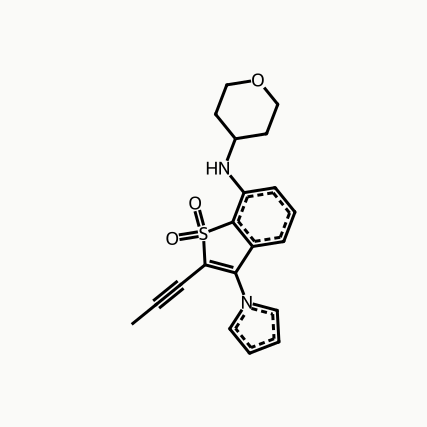 CC#CC1=C(n2cccc2)c2cccc(NC3CCOCC3)c2S1(=O)=O